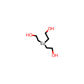 OC[CH2][Eu]([CH2]CO)[CH2]CO